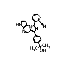 CC(C)(O)c1ccc(-c2nc(-c3cccnc3C#N)n3c2cnc2[nH]ccc23)cc1